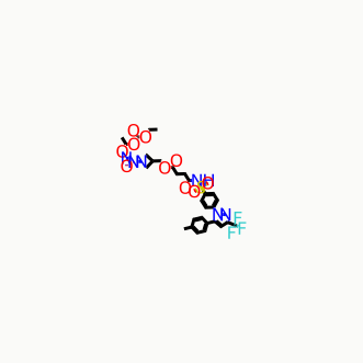 CCOC(=O)OC(C)On1on1N1CC(COC(=O)CCC(=O)NS(=O)(=O)c2ccc(-n3nc(C(F)(F)F)cc3-c3ccc(C)cc3)cc2)C1